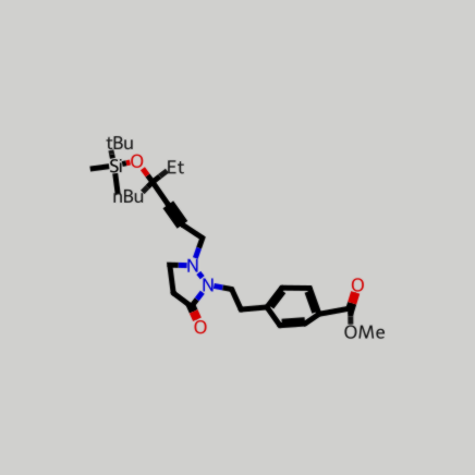 CCCCC(C#CCN1CCC(=O)N1CCc1ccc(C(=O)OC)cc1)(CC)O[Si](C)(C)C(C)(C)C